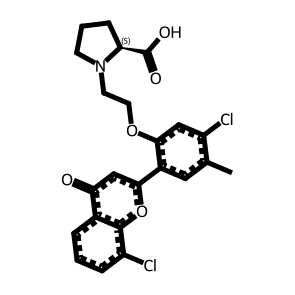 Cc1cc(-c2cc(=O)c3cccc(Cl)c3o2)c(OCCN2CCC[C@H]2C(=O)O)cc1Cl